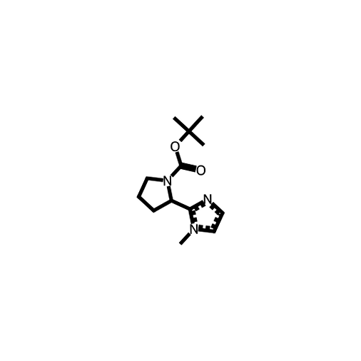 Cn1ccnc1C1CCCN1C(=O)OC(C)(C)C